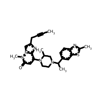 CC#CCc1cn2c(n1)c(N1CCN(C(C)c3ccc4nc(C)sc4c3)CC1C)cc(=O)n2C